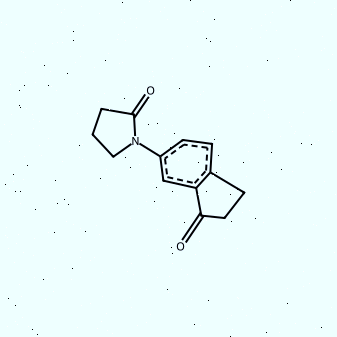 O=C1CCc2ccc(N3CCCC3=O)cc21